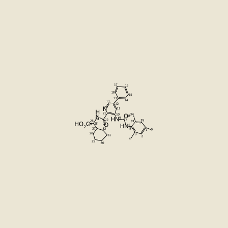 Cc1cc(C)c(NC(=O)Nc2cc(-c3ccccc3)cnc2C(=O)N[C@H](C(=O)O)C2CCCCC2)c(C)c1